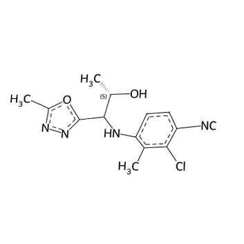 [C-]#[N+]c1ccc(NC(c2nnc(C)o2)[C@H](C)O)c(C)c1Cl